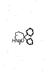 CB1NCCCCC(c2ccccc2)(c2ccccc2)O1